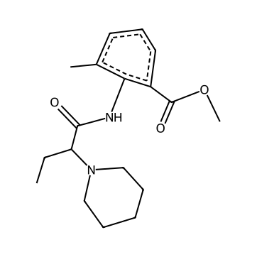 CCC(C(=O)Nc1c(C)cccc1C(=O)OC)N1CCCCC1